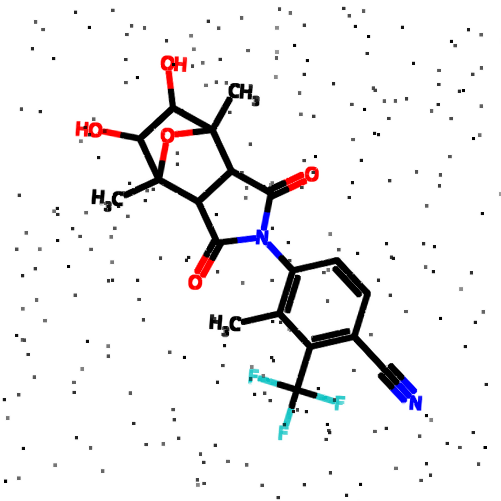 Cc1c(N2C(=O)C3C(C2=O)C2(C)OC3(C)C(O)C2O)ccc(C#N)c1C(F)(F)F